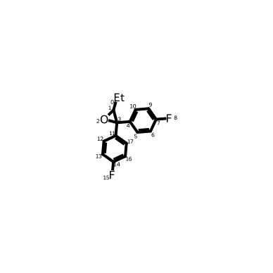 CCC1OC1(c1ccc(F)cc1)c1ccc(F)cc1